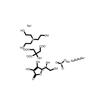 O=C([O-])CC(O)(CC(=O)[O-])C(=O)[O-].O=C1O[C@H]([C@@H](O)CO)C(O)=C1O.OCCN(CCO)CCO.[Na+].[Na+].[Na+].[Na+].[Na+].[Na+].[O-]B([O-])[O-]